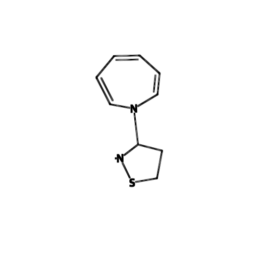 C1=CC=CN(C2CCS[N]2)C=C1